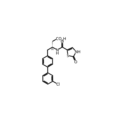 O=C(O)C[C@@H](Cc1ccc(-c2cccc(Cl)c2)cc1)NC(=O)c1c[nH]c(=O)s1